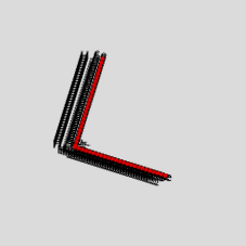 [S-2].[S-2].[S-2].[S-2].[SeH2].[SeH2].[SeH2].[SeH2].[SeH2].[SeH2].[SeH2].[SeH2].[SeH2].[SeH2].[SeH2].[SeH2].[SeH2].[SeH2].[SeH2].[SeH2].[SeH2].[SeH2].[SeH2].[SeH2].[SeH2].[SeH2].[SeH2].[SeH2].[SeH2].[SeH2].[SeH2].[SeH2].[SeH2].[SeH2].[SeH2].[SeH2].[SeH2].[SeH2].[SeH2].[SeH2].[SeH2].[SeH2].[SeH2].[SeH2].[SeH2].[SeH2].[SeH2].[SeH2].[SeH2].[SeH2].[SeH2].[SeH2].[SeH2].[SeH2].[SeH2].[SeH2].[SeH2].[SeH2].[SeH2].[SeH2].[SeH2].[SeH2].[SeH2].[SeH2].[SeH2].[SeH2].[SeH2].[SeH2].[SeH2].[SeH2].[SeH2].[SeH2].[SeH2].[SeH2].[SeH2].[SeH2].[SeH2].[SeH2].[SeH2].[SeH2].[SeH2].[SeH2].[SeH2].[SeH2].[SeH2].[SeH2].[SeH2].[SeH2].[SeH2].[SeH2].[SeH2].[SeH2].[SeH2].[SeH2].[SeH2].[SeH2].[SeH2].[SeH2].[SeH2].[SeH2]